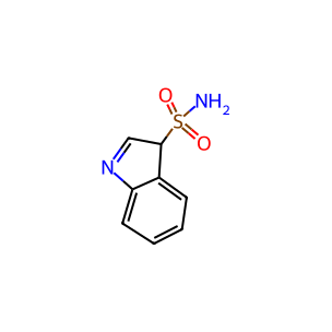 NS(=O)(=O)C1C=Nc2ccccc21